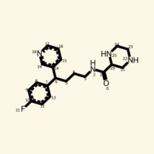 O=C(NCCCC(c1ccc(F)cc1)c1cccnc1)C1CNCCN1